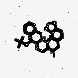 CCN(C(=O)[C@H](Cc1ccccc1)NC(=O)OC(C)(C)C)[C@@H](C)Cc1ccc2c(c1)OCO2